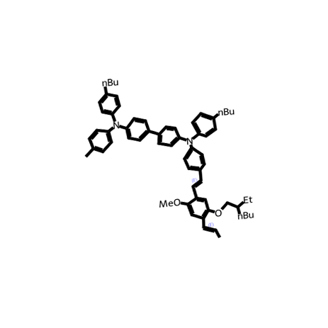 C/C=C/c1cc(OC)c(/C=C/c2ccc(N(c3ccc(CCCC)cc3)c3ccc(-c4ccc(N(c5ccc(C)cc5)c5ccc(CCCC)cc5)cc4)cc3)cc2)cc1OCC(CC)CCCC